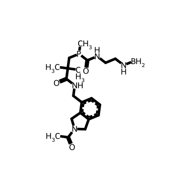 BNCCNC(=O)P(C)CC(C)(C)C(=O)NCc1cccc2c1CN(C(C)=O)C2